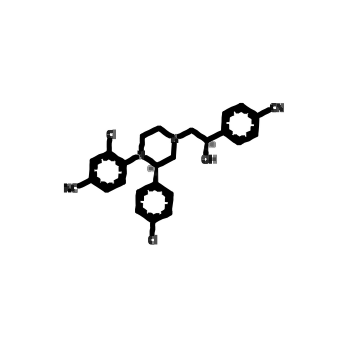 N#Cc1ccc([C@@H](O)CN2CCN(c3ccc(C#N)cc3Cl)[C@H](c3ccc(Cl)cc3)C2)cc1